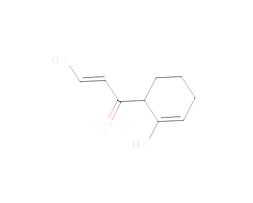 CC=CC(=O)C1CCCC=C1C